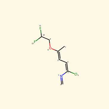 C=N/C(Cl)=C\C=C(/C)OCC(F)F